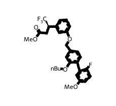 CCCCOc1cc(COc2cccc([C@@H](CC(=O)OC)C(F)(F)F)c2)ccc1-c1cc(OC)ccc1F